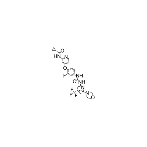 O=C(Nc1ccc(Oc2ccnc(NC(=O)C3CC3)c2)c(F)c1)Nc1cc(C(F)(F)F)cc(N2CCOCC2)n1